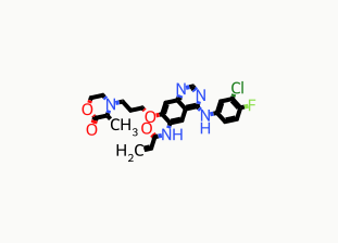 C=CC(=O)Nc1cc2c(Nc3ccc(F)c(Cl)c3)ncnc2cc1OCCCN1CCOC(=O)C1C